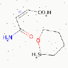 C1CC[SiH2]OC1.NC(=O)/C=C\C(=O)O